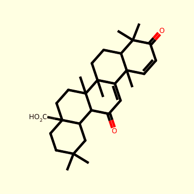 CC1(C)CCC2(C(=O)O)CCC3(C)C(C(=O)C=C4C5(C)C=CC(=O)C(C)(C)C5CCC43C)C2C1